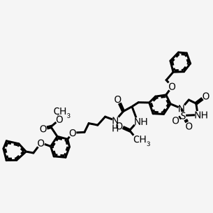 COC(=O)c1c(OCCCCNC(=O)C(Cc2ccc(N3CC(=O)NS3(=O)=O)c(OCc3ccccc3)c2)NC(C)=O)cccc1OCc1ccccc1